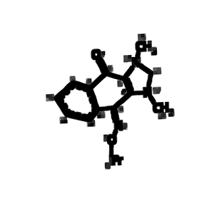 CC(C)ON=C1C2=C(C(=O)c3ccccc31)N(C)CN2C